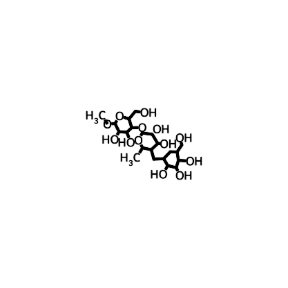 COC1OC(CO)C(OC2OC(C)C(CC3CC(CO)C(O)C(O)C3O)C(O)C2O)C(O)C1O